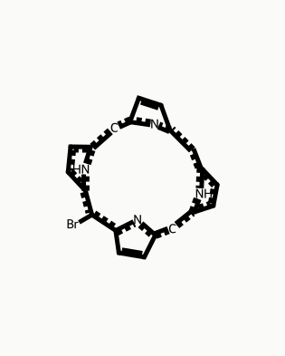 Brc1c2nc(cc3ccc(cc4nc(cc5ccc1[nH]5)C=C4)[nH]3)C=C2